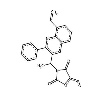 C=Cc1cccc2cc(C(C)N3C(=O)c4ccccc4C3=O)c(-c3ccccc3)nc12